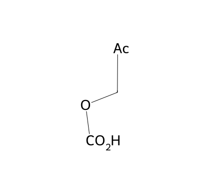 CC(=O)COC(=O)O